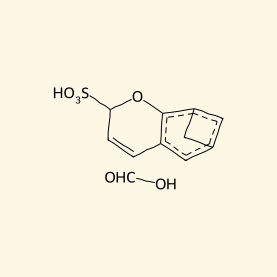 O=CO.O=S(=O)(O)C1C=Cc2cc3cc(c2O1)C3